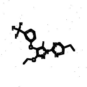 CCOc1nn(-c2ncc(CC)cn2)c(C)c1Oc1cccc(C(F)(F)F)c1